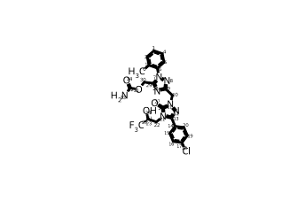 Cc1ccccc1-n1nc(Cn2nc(-c3ccc(Cl)cc3)n(C[C@H](O)C(F)(F)F)c2=O)nc1COC(N)=O